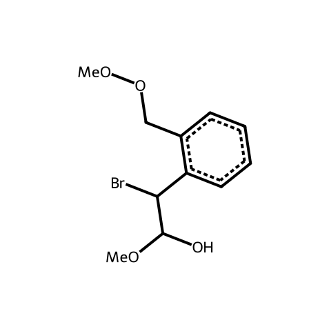 COOCc1ccccc1C(Br)C(O)OC